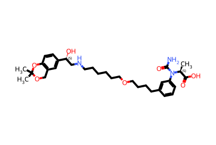 C[C@@H](C(=O)O)N(C(N)=O)c1cccc(CCCCOCCCCCCNC[C@@H](O)c2ccc3c(c2)COC(C)(C)O3)c1